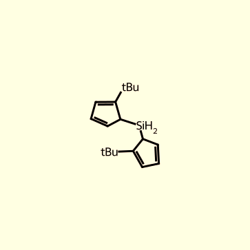 CC(C)(C)C1=CC=CC1[SiH2]C1C=CC=C1C(C)(C)C